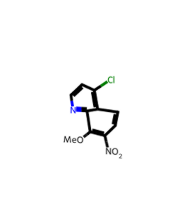 COc1c([N+](=O)[O-])ccc2c(Cl)ccnc12